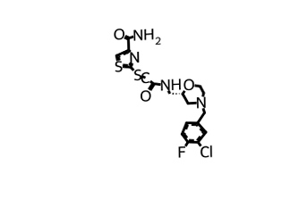 NC(=O)c1csc(SCC(=O)NC[C@H]2CN(Cc3ccc(F)c(Cl)c3)CCO2)n1